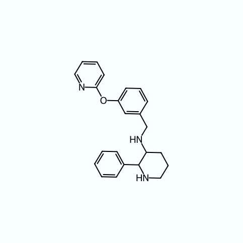 c1ccc(C2NCCCC2NCc2cccc(Oc3ccccn3)c2)cc1